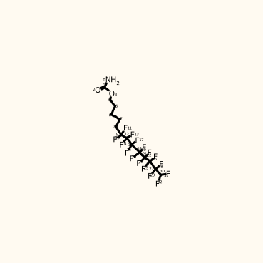 NC(=O)OCCCCCC(F)(F)C(F)(F)C(F)(F)C(F)(F)C(F)(F)C(F)(F)C(F)(F)C(F)F